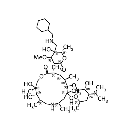 CO[C@@H]1C[C@H](O[C@@H]2[C@@H](C)[C@@H](O[C@@H]3O[C@H](C)C[C@H](N(C)C)[C@H]3O)[C@](C)(O)C[C@@H](C)NC[C@@H](C)[C@H](O)[C@](C)(O)COC(=O)[C@@H]2C)O[C@@H](C)[C@@]1(O)CNCC1CCCCC1